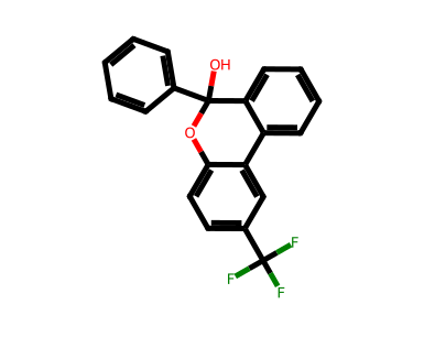 OC1(c2ccccc2)Oc2ccc(C(F)(F)F)cc2-c2ccccc21